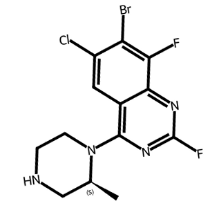 C[C@H]1CNCCN1c1nc(F)nc2c(F)c(Br)c(Cl)cc12